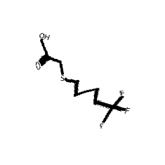 O=C(O)CSCCCCC(F)(F)F